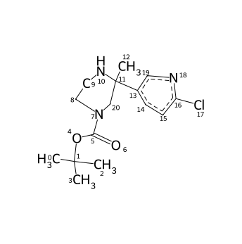 CC(C)(C)OC(=O)N1CCNC(C)(c2ccc(Cl)nc2)C1